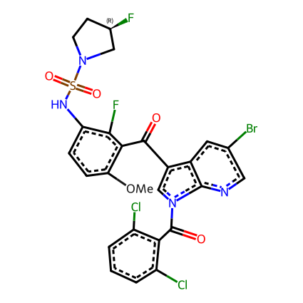 COc1ccc(NS(=O)(=O)N2CC[C@@H](F)C2)c(F)c1C(=O)c1cn(C(=O)c2c(Cl)cccc2Cl)c2ncc(Br)cc12